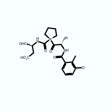 Cc1c(Cl)cccc1C(=O)N[C@H](C(=O)[N+]1(C(=O)N[C@H](C=O)CC(=O)O)CCCC1)C(C)C